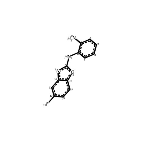 Nc1ccccc1Nc1nc2cc(F)ccc2o1